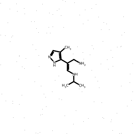 Cc1cn[nH]c1/C(=C/NC(C)C)CN